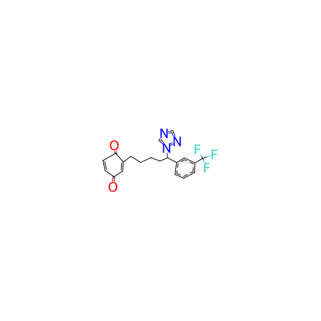 O=C1C=CC(=O)C(CCCCC(c2cccc(C(F)(F)F)c2)n2cncn2)=C1